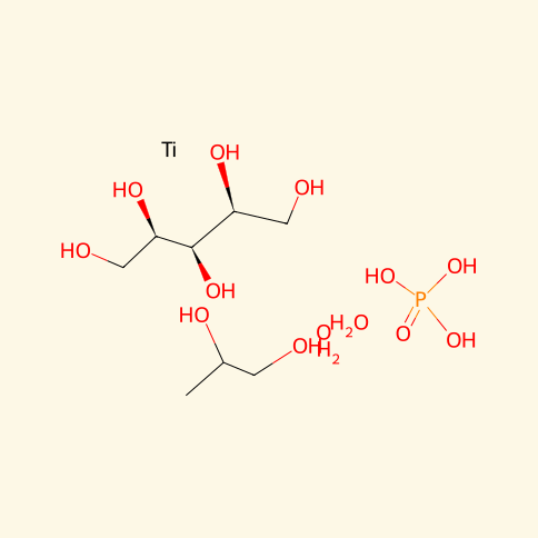 CC(O)CO.O.O.O=P(O)(O)O.OC[C@@H](O)[C@H](O)[C@@H](O)CO.[Ti]